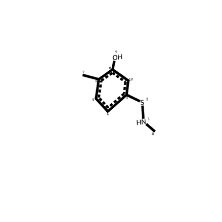 CNSc1ccc(C)c(O)c1